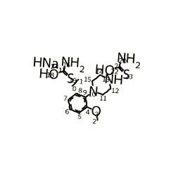 CC.COc1ccccc1N1CCNCC1.NC(O)=S.NC(O)=S.[NaH]